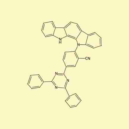 N#Cc1cc(-c2nc(-c3ccccc3)nc(-c3ccccc3)n2)ccc1-n1c2ccccc2c2ccc3c4ccccc4[nH]c3c21